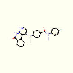 O=C(Nc1ccc(F)cc1)c1ccc(Nc2ccnc3[nH]c(=O)c4ccccc4c23)cc1